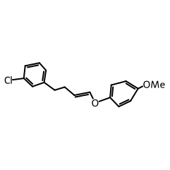 COc1ccc(OC=CCCc2cccc(Cl)c2)cc1